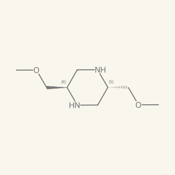 COC[C@H]1CN[C@H](COC)CN1